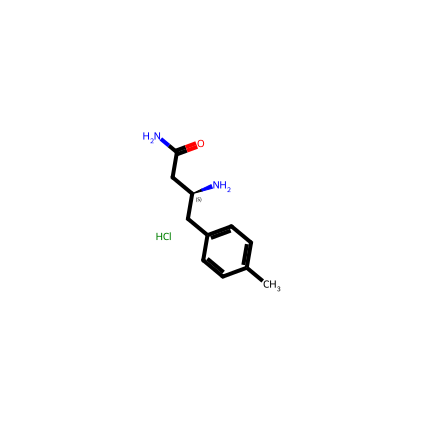 Cc1ccc(C[C@H](N)CC(N)=O)cc1.Cl